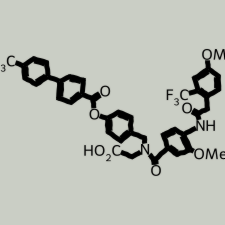 COc1ccc(CC(=O)Nc2ccc(C(=O)N(CC(=O)O)Cc3ccc(OC(=O)c4ccc(-c5ccc(C)cc5)cc4)cc3)cc2OC)c(C(F)(F)F)c1